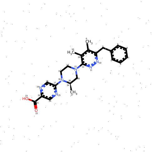 Cc1c(Cc2ccccc2)nnc(N2CCN(c3cnc(C(=O)O)cn3)[C@H](C)C2)c1C